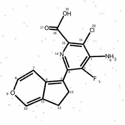 Nc1c(F)c(C2=C3C=COC=C3CC2)nc(C(=O)O)c1Cl